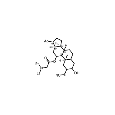 CCN(CC)CC(=O)OC1C[C@]2(C)[C@@H](C(C)=O)CC[C@H]2[C@@H]2CCC3CC(O)C(SC#N)C[C@]3(C)[C@@H]12